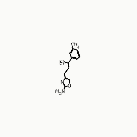 CCC(CCC1COC(N)=N1)c1cccc(C)c1